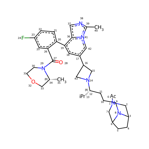 CC(=O)N1CC2CCC(C1)N2CCC[C@H](C(C)C)N1CC(c2cc(-c3ccc(F)cc3C(=O)N3CCOC[C@H]3C)c3cnc(C)n3c2)C1